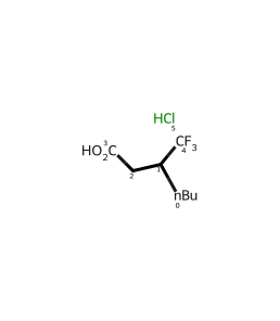 CCCCC(CC(=O)O)C(F)(F)F.Cl